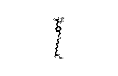 CCOC(Cc1ccc(CCNCCCCCCCC(=O)OC(C)(C)C)cc1)C(=O)OC